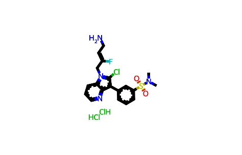 CN(C)S(=O)(=O)c1cccc(-c2c(Cl)n(CC(F)=CCN)c3cccnc23)c1.Cl.Cl